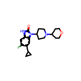 O=c1[nH]c2cc(F)c(C3CC3)cc2n1C1CCN(C2CCOCC2)CC1